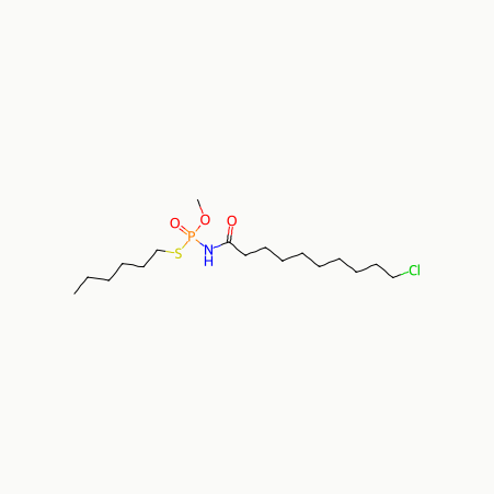 CCCCCCSP(=O)(NC(=O)CCCCCCCCCCl)OC